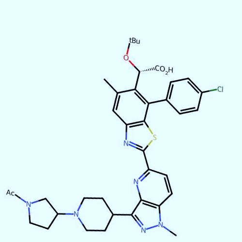 CC(=O)N1CCC(N2CCC(c3nn(C)c4ccc(-c5nc6cc(C)c([C@H](OC(C)(C)C)C(=O)O)c(-c7ccc(Cl)cc7)c6s5)nc34)CC2)C1